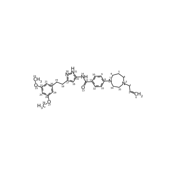 C=CCN1CCCN(c2ccc(C(=O)Nc3cc(CCc4cc(OC)cc(OC)c4)n[nH]3)cc2)CC1